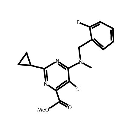 COC(=O)c1nc(C2CC2)nc(N(C)Cc2ccccc2F)c1Cl